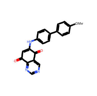 COc1ccc(-c2ccc(NC3=CC(=O)c4ncncc4C3=O)cc2)cc1